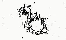 C=CCC(NC(=O)[C@@H]1C[C@@H]2CN1C(=O)C(C(C)C)NC(=O)OCCCCc1cccc3c1CN(C3)C(=O)O2)C(=O)NS(=O)(=O)C1CC1